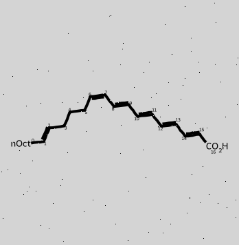 CCCCCCCCC=CCCC/C=C\C=CC=CC=CC=CC(=O)O